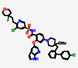 COC1(Cc2ccccc2-c2ccc(Cl)cc2)CCN(c2ccc(C(=O)NS(=O)(=O)c3cnc(CCC4(F)CCOCC4)c(Cl)c3)c(Oc3cnc4[nH]ccc4c3)c2)CC1